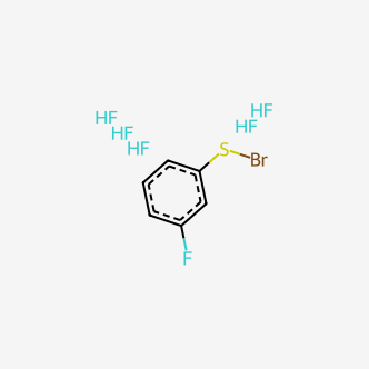 F.F.F.F.F.Fc1cccc(SBr)c1